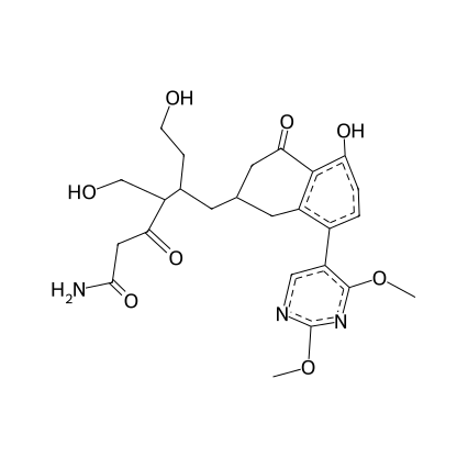 COc1ncc(-c2ccc(O)c3c2CC(CC(CCO)C(CO)C(=O)CC(N)=O)CC3=O)c(OC)n1